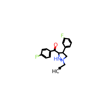 C#CCN1CC(c2cccc(F)c2)C(C(=O)c2ccc(F)cc2)N1